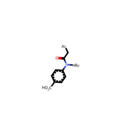 CCCCN(C(=O)CC(C)=O)c1ccc(C(=O)O)cc1